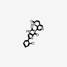 O=c1ccc2cncc(-n3c(=O)[nH]c4cc(-c5ccccc5Cl)sc4c3=O)c2[nH]1